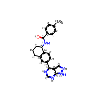 CC(C)(C)c1ccc(C(=O)NC2CCCc3cc(-c4ncnc5[nH]ncc45)ccc32)cc1